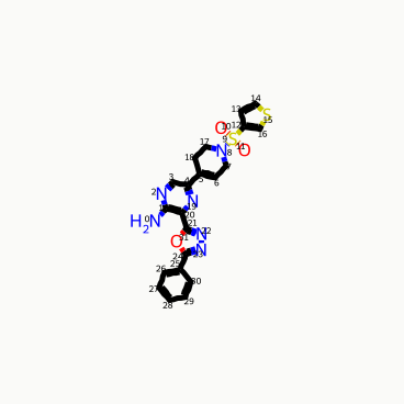 Nc1ncc(C2=CCN(S(=O)(=O)c3ccsc3)CC2)nc1-c1nnc(-c2ccccc2)o1